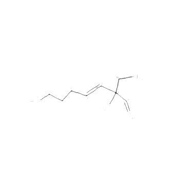 CCCCC=CC(C)(C=O)CC